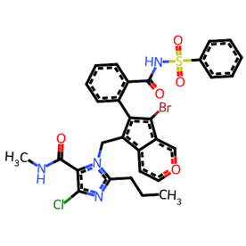 CCCc1nc(Cl)c(C(=O)NC)n1Cc1c2ccocc-2c(Br)c1-c1ccccc1C(=O)NS(=O)(=O)c1ccccc1